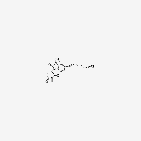 C#CCCCCC#Cc1ccc2c(c1)n(C)c(=O)n2C1CCC(=O)NC1=O